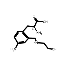 Nc1ccc(C[C@H](N)C(=O)O)c(CNCCO)c1